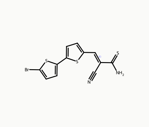 N#C/C(=C\c1ccc(-c2ccc(Br)s2)s1)C(N)=S